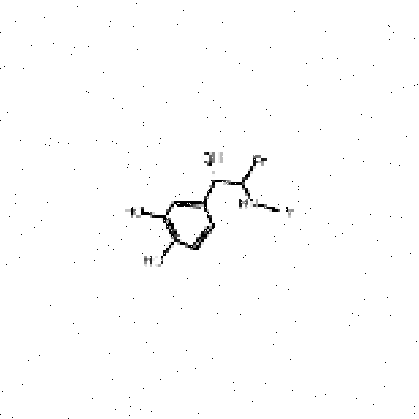 CCC(NC(C)C)[C@@H](O)c1ccc(O)c(O)c1